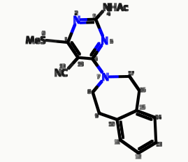 CSc1nc(NC(C)=O)nc(N2CCc3ccccc3CC2)c1C#N